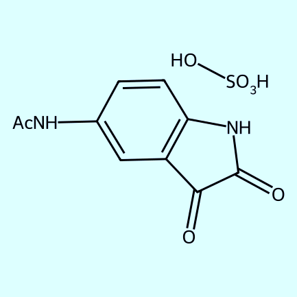 CC(=O)Nc1ccc2c(c1)C(=O)C(=O)N2.O=S(=O)(O)O